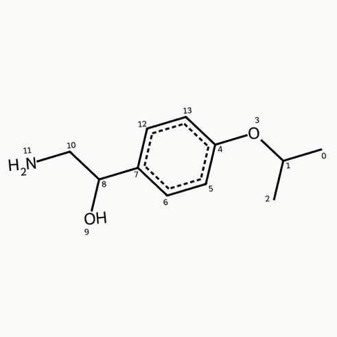 CC(C)Oc1ccc(C(O)CN)cc1